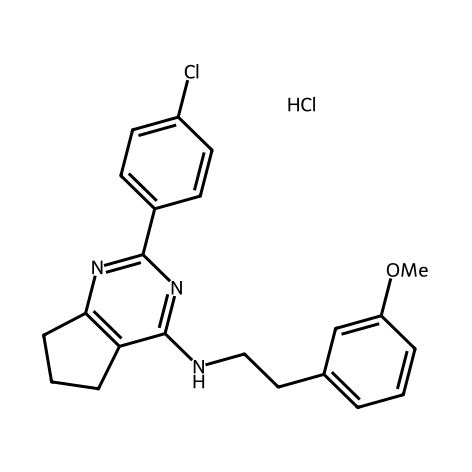 COc1cccc(CCNc2nc(-c3ccc(Cl)cc3)nc3c2CCC3)c1.Cl